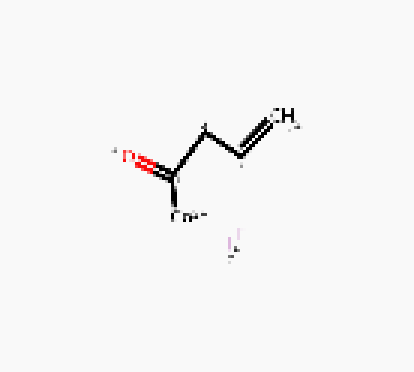 C=CC[C](=O)[Co+2].[I-].[I-]